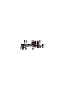 C[C@]12C=CC(=O)C=C1[C@@H](F)C[C@H]1[C@@H]3C[C@H]4O[C@H](c5ccc(C(=O)Nc6cccc(N)c6)cc5)O[C@@]4(C(=O)CO)[C@@]3(C)C[C@H](O)[C@@]12F